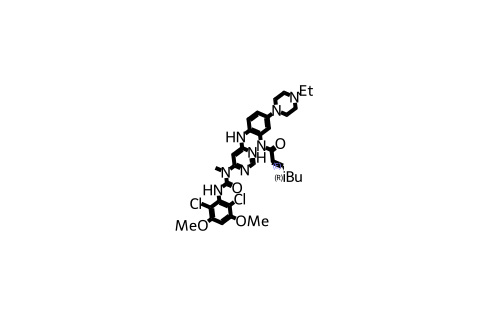 CC[C@@H](C)/C=C/C(=O)Nc1cc(N2CCN(CC)CC2)ccc1Nc1cc(N(C)C(=O)Nc2c(Cl)c(OC)cc(OC)c2Cl)ncn1